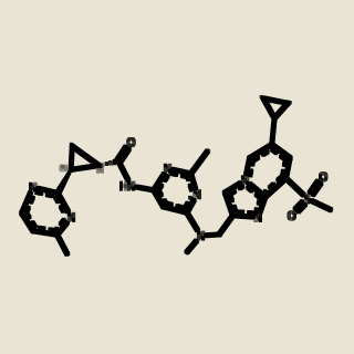 Cc1ccnc([C@H]2C[C@@H]2C(=O)Nc2cc(N(C)Cc3cn4cc(C5CC5)cc(S(C)(=O)=O)c4n3)nc(C)n2)n1